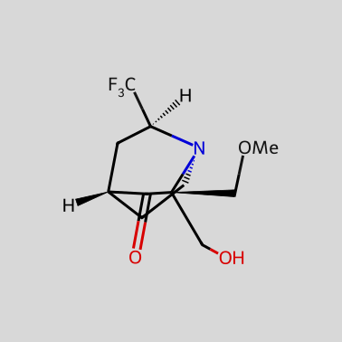 COC[C@@]1(CO)C(=O)[C@@H]2CC[N@@]1[C@H](C(F)(F)F)C2